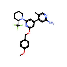 COc1ccc(COc2cc(-c3cc(N)ncc3C)cc(N3CCCC[C@@H]3C(F)(F)F)n2)cc1